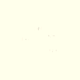 O=CCC(O)C(O)O